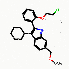 COOCc1ccc2c(C3CCCCC3)c(-c3ccccc3OCCCl)[nH]c2c1